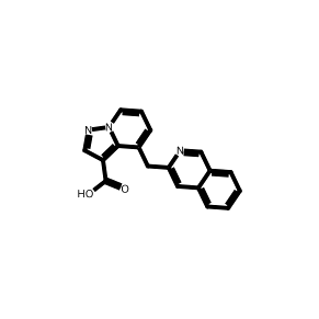 O=C(O)c1cnn2cccc(Cc3cc4ccccc4cn3)c12